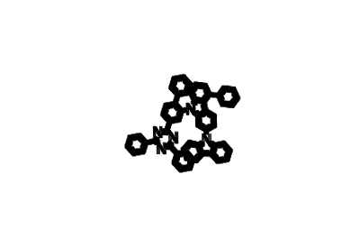 c1ccc(-c2nc(-c3ccccc3)nc(-c3ccc(-c4ccccc4)c(-n4c5cc(-n6c7ccccc7c7ccccc76)ccc5c5c(-c6ccccc6)cccc54)c3)n2)cc1